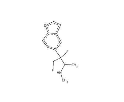 CNC(C)C(F)(CF)c1ccc2occc2c1